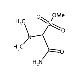 COS(=O)(=O)C(C(N)=O)N(C)C